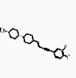 CC[C@H]1CC[C@H](C2CCC(C=CC#Cc3ccc(F)c(F)c3)CC2)CC1